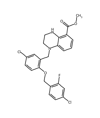 COC(=O)c1cccc2c1NCCN2Cc1cc(Cl)ccc1OCc1ccc(Cl)cc1F